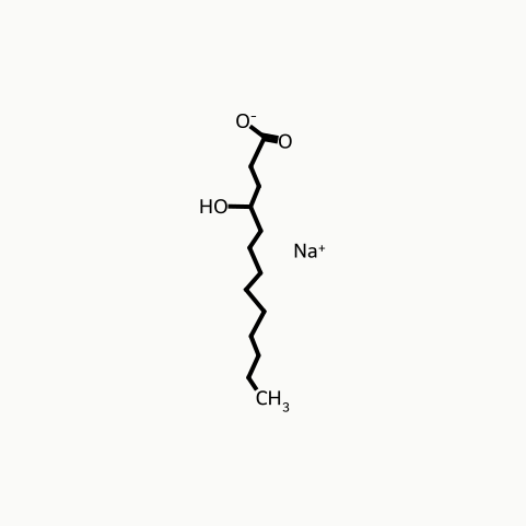 CCCCCCCCCC(O)CCC(=O)[O-].[Na+]